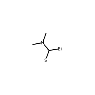 CCC([S])N(C)C